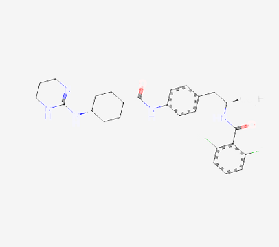 O=C(N[C@@H](Cc1ccc(NC(=O)[C@H]2CC[C@H](NC3=NCCCN3)CC2)cc1)C(=O)O)c1c(Cl)cccc1Cl